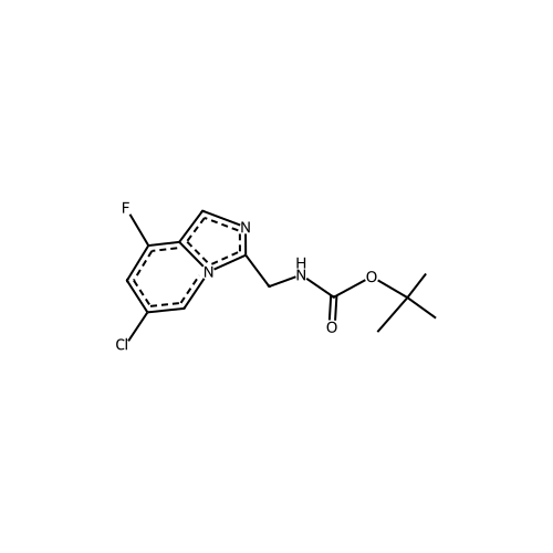 CC(C)(C)OC(=O)NCc1ncc2c(F)cc(Cl)cn12